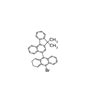 CC1(C)c2ccccc2-c2c1cc(-c1c3c(c(Br)c4ccccc14)=CCCC=3)c1ccccc21